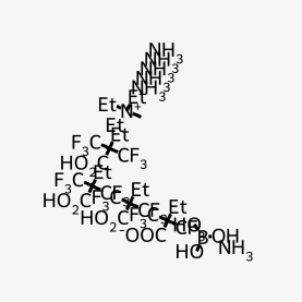 CCC(C(=O)O)(C(F)(F)F)C(F)(F)F.CCC(C(=O)O)(C(F)(F)F)C(F)(F)F.CCC(C(=O)O)(C(F)(F)F)C(F)(F)F.CCC(C(=O)[O-])(C(F)(F)F)C(F)(F)F.CC[N+](C)(CC)CC.N.N.N.N.N.N.OB(O)O